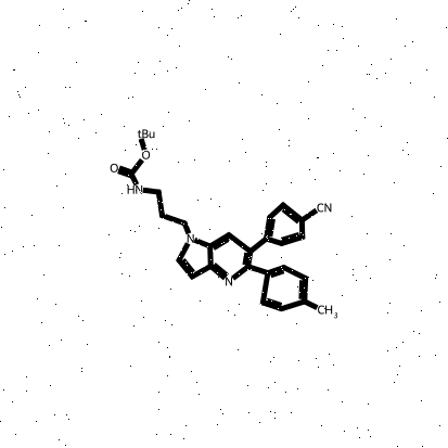 Cc1ccc(-c2nc3ccn(CCCNC(=O)OC(C)(C)C)c3cc2-c2ccc(C#N)cc2)cc1